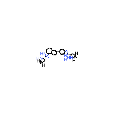 c1cc2c(cc1-c1ccc3nc([C@@H]4C[C@H]5C[C@H]5N4)[nH]c3c1)CCCc1[nH]c([C@@H]3C[C@H]4C[C@H]4N3)nc1-2